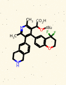 Cc1nc(C)c(C(OC(C)(C)C)C(=O)O)c(-c2ccc3c(c2)C(F)(F)CCO3)c1-c1ccc2c(c1)CCNC2